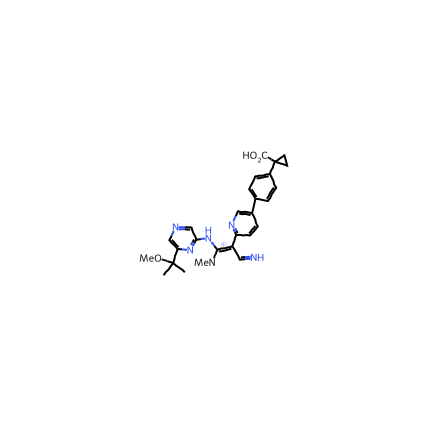 CN/C(Nc1cncc(C(C)(C)OC)n1)=C(\C=N)c1ccc(-c2ccc(C3(C(=O)O)CC3)cc2)cn1